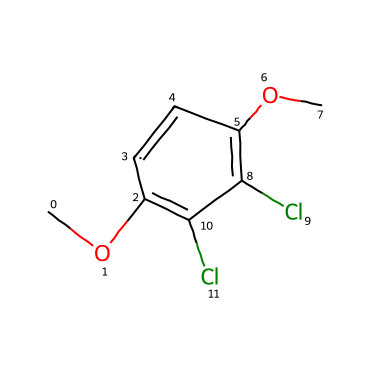 COc1[c]cc(OC)c(Cl)c1Cl